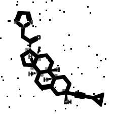 C[C@]12CC[C@H]3[C@@H](CC=C4C[C@@](O)(C#CC5CC5)CC[C@@H]43)[C@@H]1CC[C@@H]2C(=O)Cn1nccn1